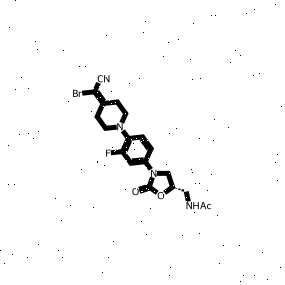 CC(=O)NC[C@H]1CN(c2ccc(N3CCC(=C(Br)C#N)CC3)c(F)c2)C(=O)O1